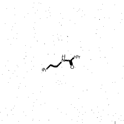 CCCC(=O)NCCC(C)C